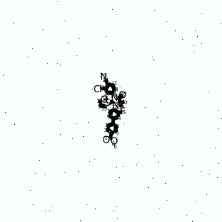 COC(=O)c1ccc(-c2ccc(N3C(=S4C=CCO4)N(c4ccc(C#N)c(Cl)c4)C(=O)C3(C)C)c(F)c2)cc1